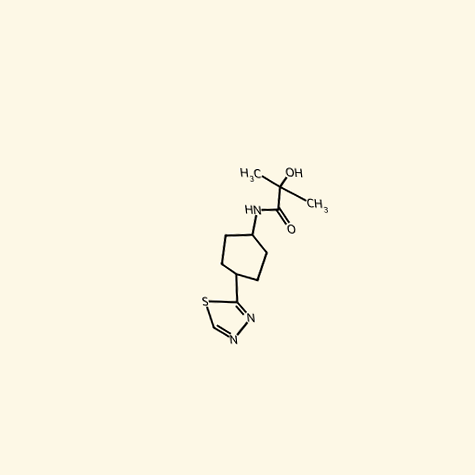 CC(C)(O)C(=O)NC1CCC(c2nncs2)CC1